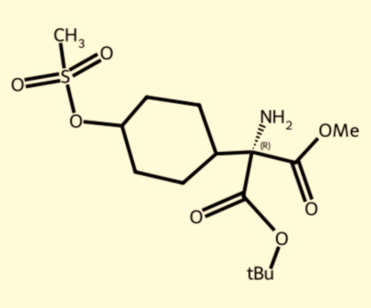 COC(=O)[C@@](N)(C(=O)OC(C)(C)C)C1CCC(OS(C)(=O)=O)CC1